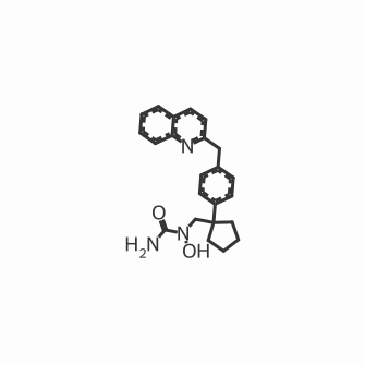 NC(=O)N(O)CC1(c2ccc(Cc3ccc4ccccc4n3)cc2)CCCC1